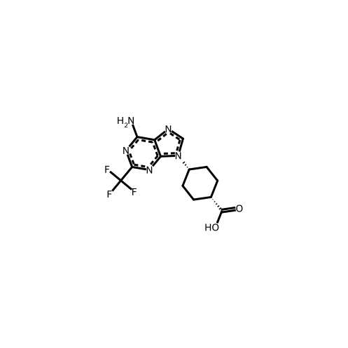 Nc1nc(C(F)(F)F)nc2c1ncn2[C@H]1CC[C@@H](C(=O)O)CC1